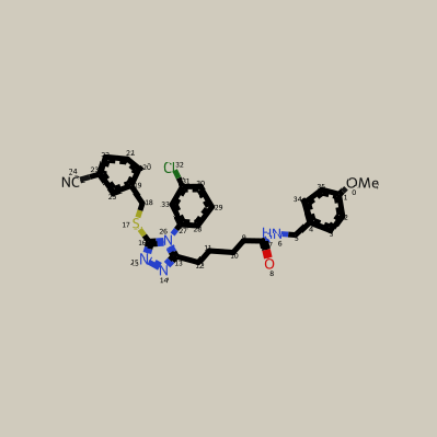 COc1ccc(CNC(=O)CCCCc2nnc(SCc3cccc(C#N)c3)n2-c2cccc(Cl)c2)cc1